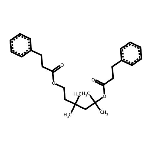 CC(C)(CCOC(=O)CCc1ccccc1)CC(C)(C)OC(=O)CCc1ccccc1